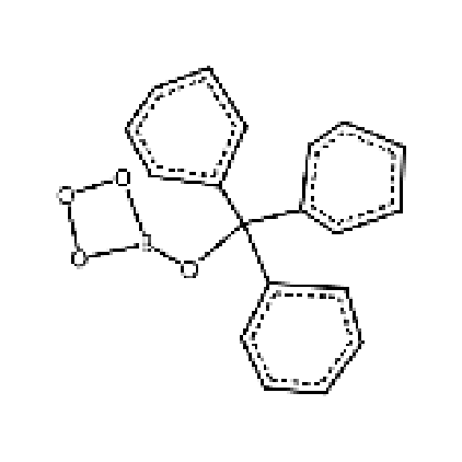 c1ccc(C(OB2OOO2)(c2ccccc2)c2ccccc2)cc1